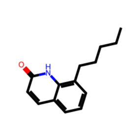 CCCCCc1cccc2ccc(=O)[nH]c12